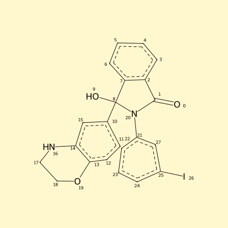 O=C1c2ccccc2C(O)(c2ccc3c(c2)NCCO3)N1c1cccc(I)c1